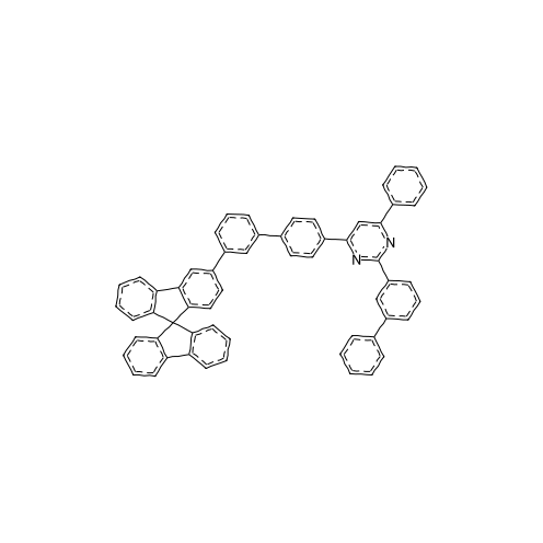 c1ccc(-c2cccc(-c3nc(-c4ccccc4)cc(-c4ccc(-c5cccc(-c6ccc7c(c6)-c6ccccc6C76c7ccccc7-c7ccccc76)c5)cc4)n3)c2)cc1